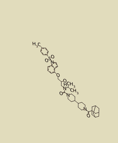 Cc1ccc(S(=O)(=O)n2ccc3c(OCC(O)CN(C(=O)N4CCC(C5CCN(C(=O)C67CC8CC(CC(C8)C6)C7)CC5)CC4)C(C)C)cccc32)cc1